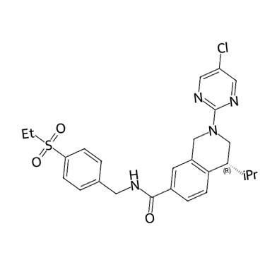 CCS(=O)(=O)c1ccc(CNC(=O)c2ccc3c(c2)CN(c2ncc(Cl)cn2)C[C@@H]3C(C)C)cc1